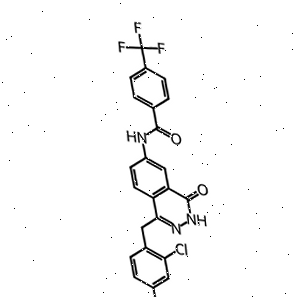 O=C(Nc1ccc2c(Cc3ccc(Cl)cc3Cl)n[nH]c(=O)c2c1)c1ccc(C(F)(F)F)cc1